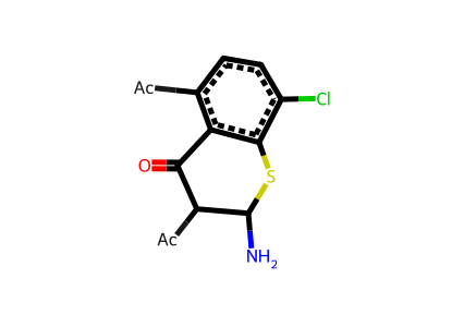 CC(=O)c1ccc(Cl)c2c1C(=O)C(C(C)=O)C(N)S2